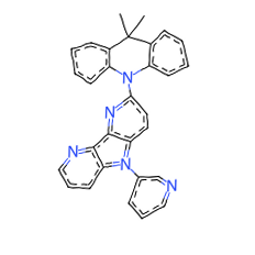 CC1(C)c2ccccc2N(c2ccc3c(n2)c2ncccc2n3-c2cccnc2)c2ccccc21